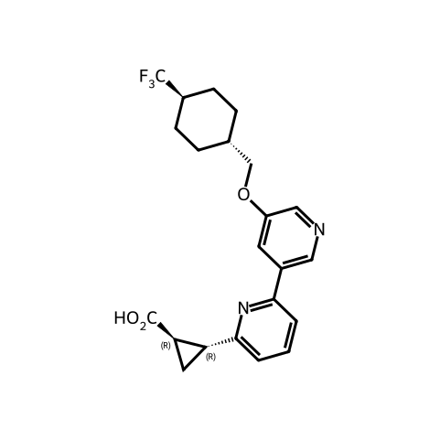 O=C(O)[C@@H]1C[C@H]1c1cccc(-c2cncc(OC[C@H]3CC[C@H](C(F)(F)F)CC3)c2)n1